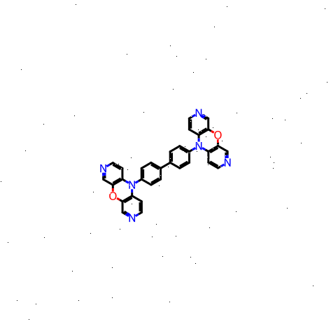 c1cc2c(cn1)Oc1cnccc1N2c1ccc(-c2ccc(N3c4ccncc4Oc4cnccc43)cc2)cc1